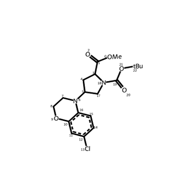 COC(=O)C1CC(N2CCOc3cc(Cl)ccc32)CN1C(=O)OC(C)(C)C